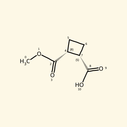 COC(=O)[C@@H]1CC[C@@H]1C(=O)O